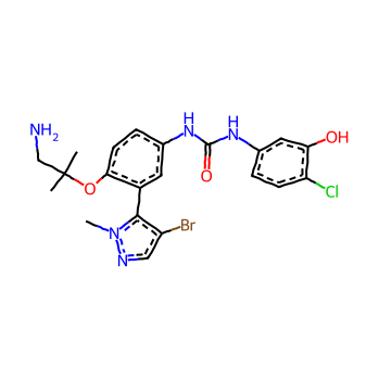 Cn1ncc(Br)c1-c1cc(NC(=O)Nc2ccc(Cl)c(O)c2)ccc1OC(C)(C)CN